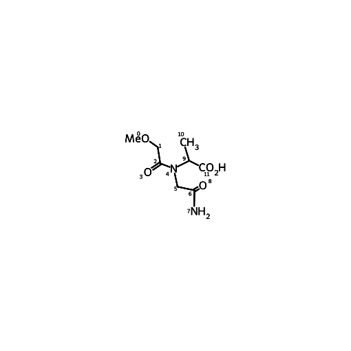 COCC(=O)N(CC(N)=O)C(C)C(=O)O